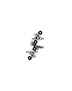 O=S(=O)([O-])c1cc(Nc2nc(O)nc(Nc3ccccc3)n2)ccc1C=Cc1ccc(Nc2nc(O)nc(Nc3ccccc3)n2)cc1S(=O)(=O)[O-].[Na+].[Na+]